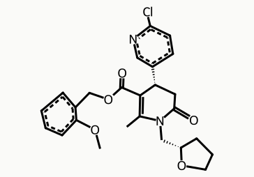 COc1ccccc1COC(=O)C1=C(C)N(C[C@@H]2CCCO2)C(=O)C[C@H]1c1ccc(Cl)nc1